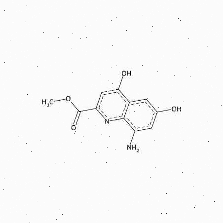 COC(=O)c1cc(O)c2cc(O)cc(N)c2n1